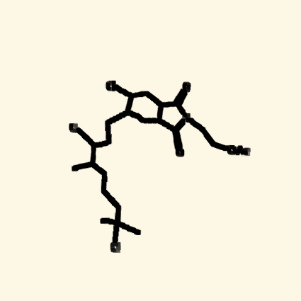 CC(=O)OCCN1C(=O)C2CC(Cl)C(CCC(Cl)C(C)CCCC(C)(C)Cl)CC2C1=O